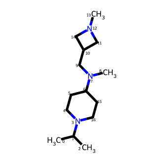 CC(C)N1CCC(N(C)CC2CN(C)C2)CC1